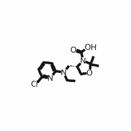 CCN(C[C@H]1COC(C)(C)N1C(=O)O)c1cccc(Cl)n1